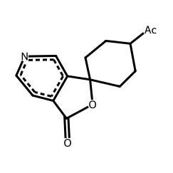 CC(=O)C1CCC2(CC1)OC(=O)c1ccncc12